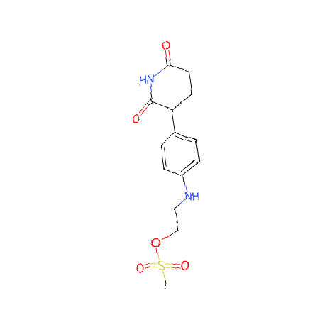 CS(=O)(=O)OCCNc1ccc(C2CCC(=O)NC2=O)cc1